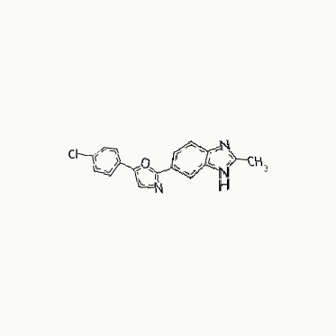 Cc1nc2ccc(-c3ncc(-c4ccc(Cl)cc4)o3)cc2[nH]1